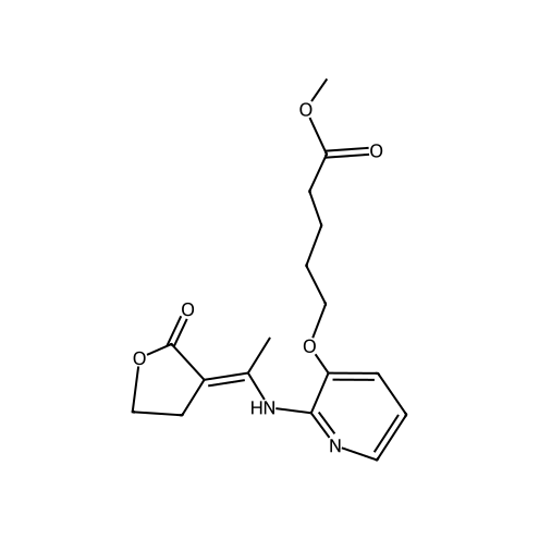 COC(=O)CCCCOc1cccnc1N/C(C)=C1\CCOC1=O